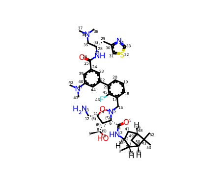 C[C@@H]1[C@@H](NC(=O)[C@@H]2[C@H]([C@H](C)O)[C@H](CN)ON2Cc2cccc(-c3cc(C(=O)N[C@@H](Cc4cscn4)CN(C)C)cc(N(C)C)c3)c2F)C[C@H]2C[C@@H]1C2(C)C